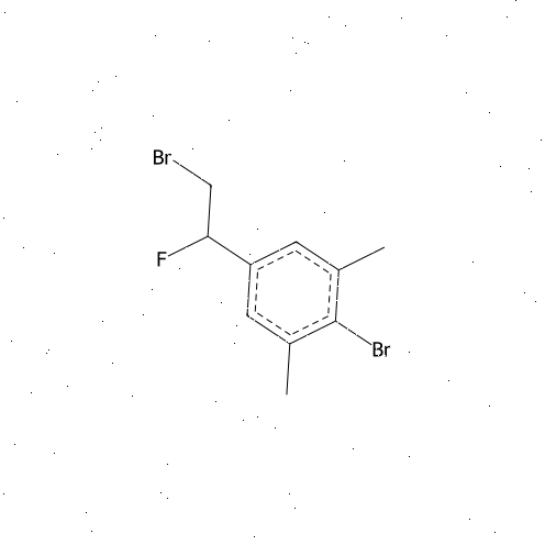 Cc1cc(C(F)CBr)cc(C)c1Br